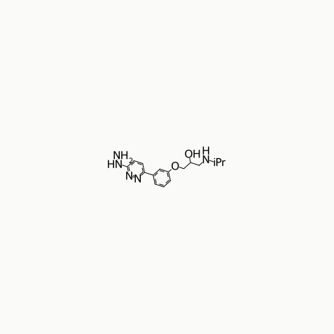 CC(C)NCC(O)COc1cccc(-c2ccc(NN)nn2)c1